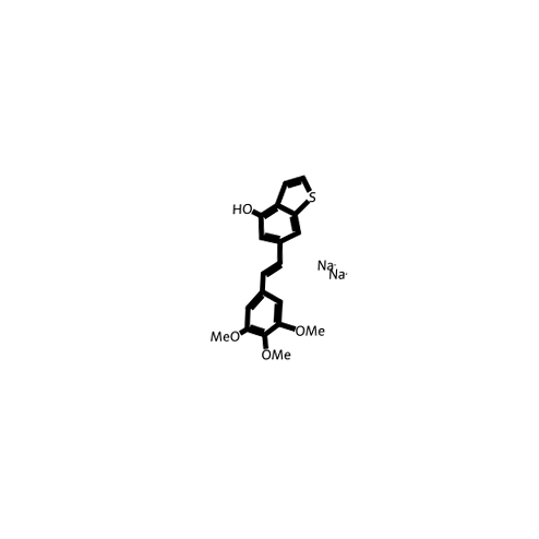 COc1cc(C=Cc2cc(O)c3ccsc3c2)cc(OC)c1OC.[Na].[Na]